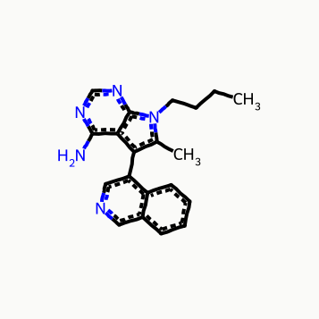 CCCCn1c(C)c(-c2cncc3ccccc23)c2c(N)ncnc21